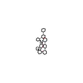 c1ccc(-c2ccc(-c3ccccc3N(c3ccc4c(c3)oc3ccccc34)c3ccccc3-c3cccc(-c4ccccc4)c3)cc2)cc1